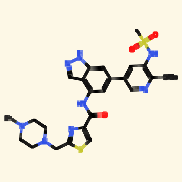 COc1ncc(-c2cc(NC(=O)c3csc(CN4CCN(C(C)C)CC4)n3)c3cn[nH]c3c2)cc1NS(C)(=O)=O